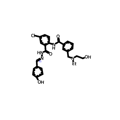 CCN(CCO)Cc1cccc(C(=O)Nc2ccc(Cl)cc2C(=O)N/N=C/c2ccc(O)cc2)c1